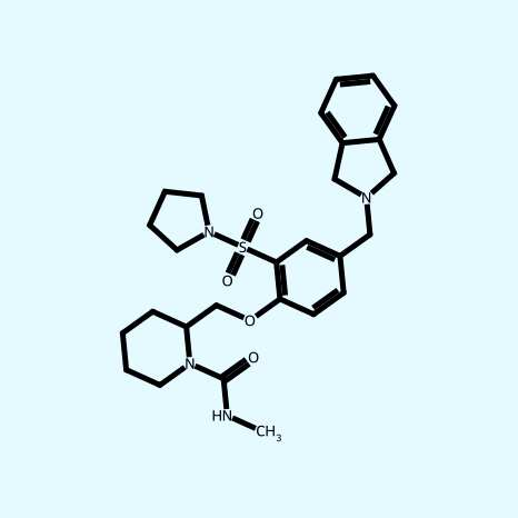 CNC(=O)N1CCCCC1COc1ccc(CN2Cc3ccccc3C2)cc1S(=O)(=O)N1CCCC1